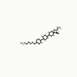 CCCCCCC1CCC(C2CCC(C3CCC(C#N)(CCC)CC3)CC2)CC1